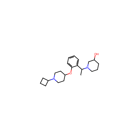 [CH2]C(c1ccccc1OC1CCN(C2CCC2)CC1)N1CCCC(O)C1